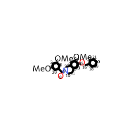 COc1cc(OC)cc(C(=O)N2CCc3cc(OCc4ccccc4)c(OC)cc3C2)c1